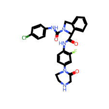 O=C(Nc1ccc(N2CCNCC2=O)cc1F)C1c2ccccc2CN1C(=O)Nc1ccc(Cl)cc1